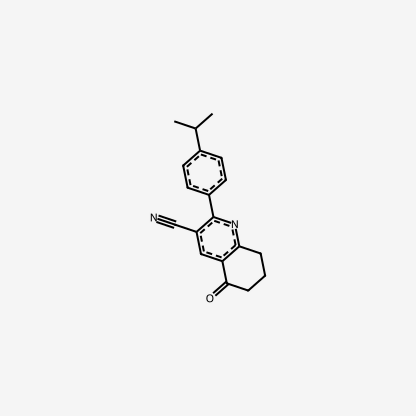 CC(C)c1ccc(-c2nc3c(cc2C#N)C(=O)CCC3)cc1